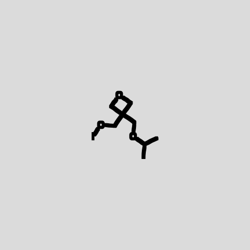 CC(C)OCC1(COI)COC1